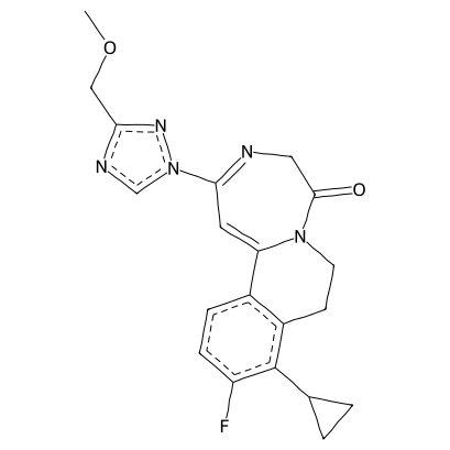 COCc1ncn(C2=NCC(=O)N3CCc4c(ccc(F)c4C4CC4)C3=C2)n1